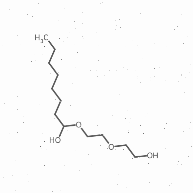 CCCCCCCC(O)OCCOCCO